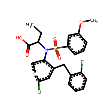 CCC(C(=O)O)N(c1ccc(Cl)cc1Cc1ccccc1Cl)S(=O)(=O)c1cccc(OC)c1